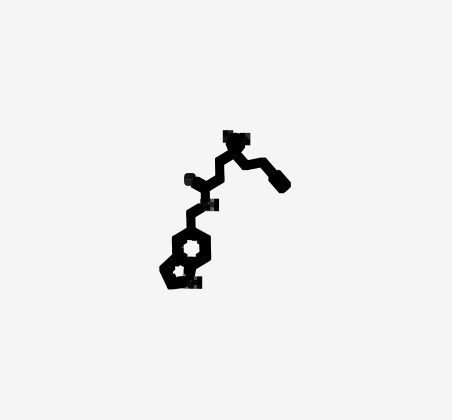 C#CCCC1(CCC(=O)NCc2ccc3[nH]ccc3c2)N=N1